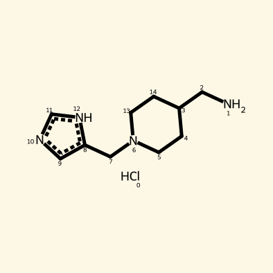 Cl.NCC1CCN(Cc2cnc[nH]2)CC1